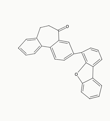 O=C1CCc2ccccc2-c2ccc(-c3cccc4c3oc3ccccc34)cc21